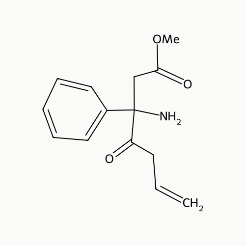 C=CCC(=O)C(N)(CC(=O)OC)c1ccccc1